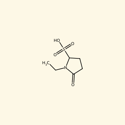 CCN1C(=O)CCC1S(=O)(=O)O